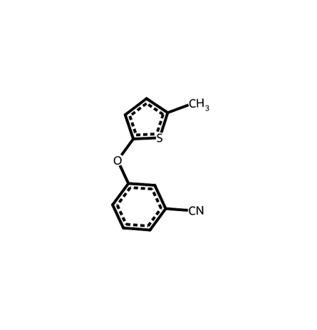 Cc1ccc(Oc2cccc(C#N)c2)s1